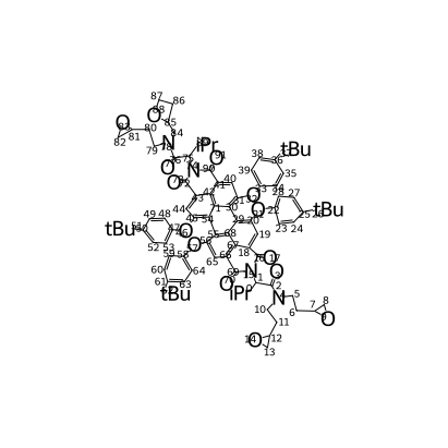 CC(C)C(C(=O)N(CCC1CO1)CCC1CO1)N1C(=O)c2cc(Oc3ccc(C(C)(C)C)cc3)c3c4c(Oc5ccc(C(C)(C)C)cc5)cc5c6c(cc(Oc7ccc(C(C)(C)C)cc7)c(c7c(Oc8ccc(C(C)(C)C)cc8)cc(c2c37)C1=O)c64)C(=O)N(C(C(=O)N(CCC1CO1)CC1CCO1)C(C)C)C5=O